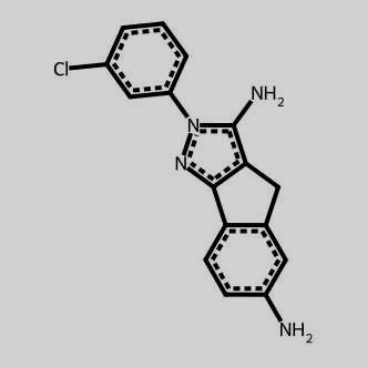 Nc1ccc2c(c1)Cc1c-2nn(-c2cccc(Cl)c2)c1N